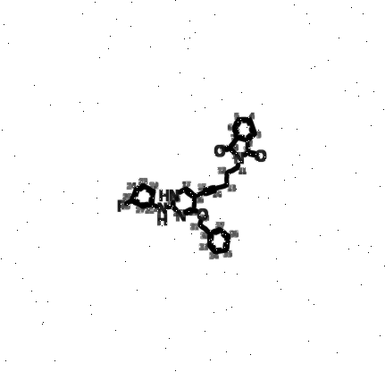 O=C1c2ccccc2C(=O)N1CCCC#CC1=CNC(Nc2cccc(F)c2)N=C1OCc1ccccc1